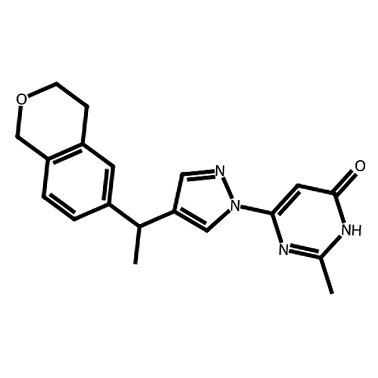 Cc1nc(-n2cc(C(C)c3ccc4c(c3)CCOC4)cn2)cc(=O)[nH]1